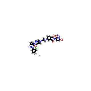 O=C1CCC(N2C(=O)c3ccc(N4CC(N5Cc6cn(C7(C(=O)Nc8ccc(C(F)(F)F)cc8Cl)CCC7)nc6C5)C4)cc3C2=O)C(=O)N1